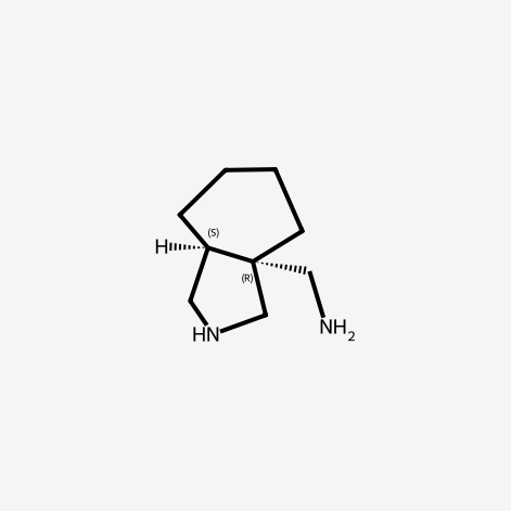 NC[C@@]12CCCC[C@@H]1CNC2